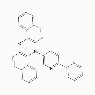 c1ccc(-c2ccc(N3c4ccc5ccccc5c4Oc4ccc5ccccc5c43)cn2)nc1